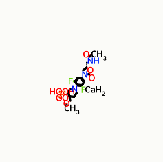 COCC1(OP(=O)(O)O)CCN(c2c(F)cc(N3C[C@H](CNC(C)=O)OC3=O)cc2F)CC1.[CaH2]